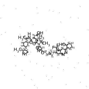 Cc1ncsc1-c1ccc([C@H](C)NC(=O)[C@@H]2C[C@@H](O)CN2C(=O)C(c2cc(OCCN3CC(c4cc5nnc(-c6ccccc6O)cc5n4C(F)F)C3)no2)C(C)C)cc1